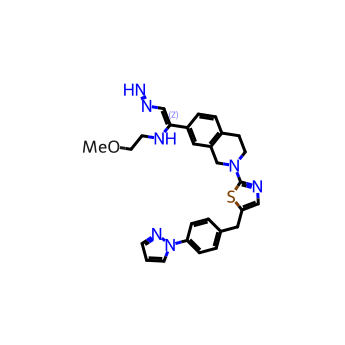 COCCN/C(=C\N=N)c1ccc2c(c1)CN(c1ncc(Cc3ccc(-n4cccn4)cc3)s1)CC2